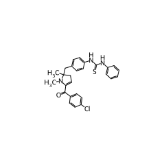 CN1C(C(=O)c2ccc(Cl)cc2)=CCC1(C)Cc1ccc(NC(=S)Nc2ccccc2)cc1